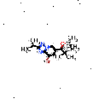 CC(C)c1nc2c(Br)cc(C(O[SiH](C)C)C(C)(C)C)cn2n1